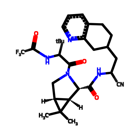 CC(C)(C)C(NC(=O)C(F)(F)F)C(=O)N1C[C@H]2[C@@H]([C@H]1C(=O)NC(C#N)CC1CCc3cccnc3C1)C2(C)C